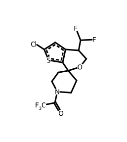 O=C(N1CCC2(CC1)OCC(C(F)F)c1cc(Cl)sc12)C(F)(F)F